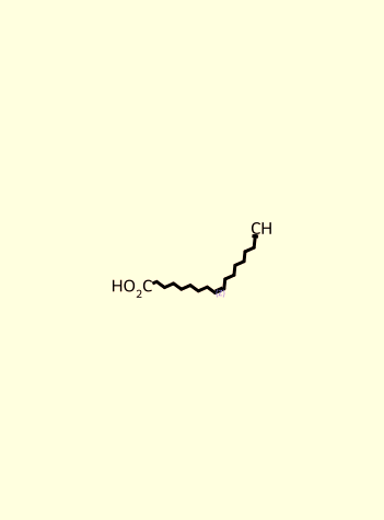 C#CCCCCCC/C=C\CCCCCCCC(=O)O